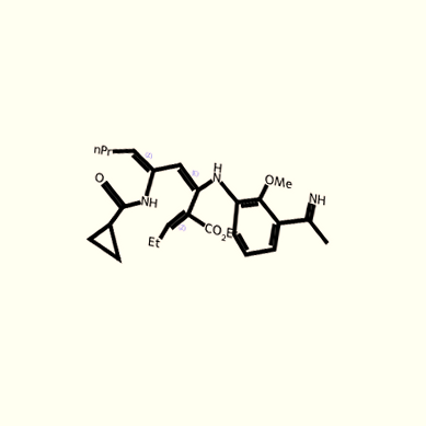 CC/C=C(C(=O)OCC)/C(=C\C(=C\CCC)NC(=O)C1CC1)Nc1cccc(C(C)=N)c1OC